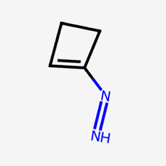 N=NC1=CCC1